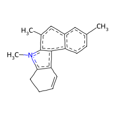 Cc1ccc2c(c1)cc(C)c1c2c2c(n1C)CCC=C2